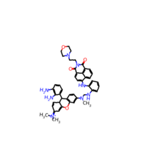 CN(CNc1ccccc1Nc1ccc2c3c(cccc13)C(=O)N(CCN1CCOCC1)C2=O)c1ccc2c(c1)OC1=CC(=[N+](C)C)C=CC1C2c1cccc(N)c1N